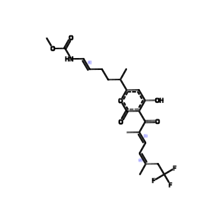 COC(=O)N/C=C/CCC(C)c1cc(O)c(C(=O)/C(C)=C/C=C(/C)CC(F)(F)F)c(=O)o1